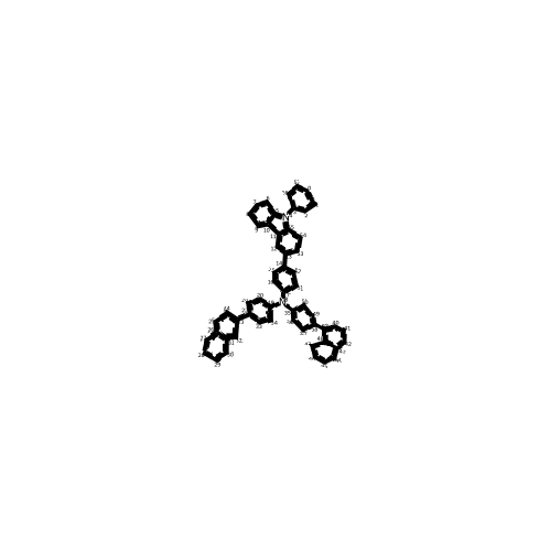 c1ccc(-n2c3ccccc3c3cc(-c4ccc(N(c5ccc(-c6ccc7ccccc7c6)cc5)c5ccc(-c6cccc7ccccc67)cc5)cc4)ccc32)cc1